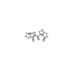 O=C(NC(=O)C1CSC2CCC(=O)N21)C1CCCN1